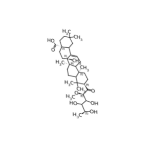 CO[C@@H](C(=O)[C@@H]1CC[C@@]2(C)C(CC[C@]3(C)C2CC=C2C4CC(C)(C)CC[C@]4(C(=O)O)CC[C@]23C)C1(C)C)C(O)C(O)[C@H](C)O